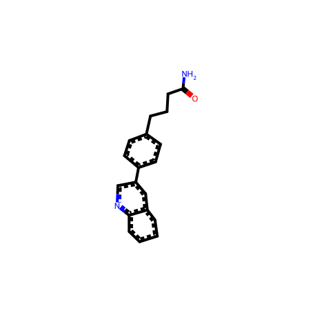 NC(=O)CCCc1ccc(-c2cnc3ccccc3c2)cc1